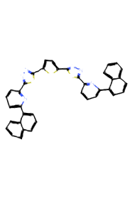 c1cc(-c2nnc(-c3ccc(-c4nnc(-c5cccc(-c6cccc7ccccc67)n5)s4)s3)s2)nc(-c2cccc3ccccc23)c1